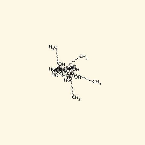 CCCCCCCCCCC[C@@H](O)CC(=O)N[C@H]1[C@H](OC[C@H]2O[C@H](OCCOP(=O)(O)O)[C@H](NC(=O)C[C@H](O)CCCCCCCCCCC)[C@@H](OC(=O)C[C@H](O)CCCCCCCCCCC)[C@@H]2O)O[C@H](CO)[C@@H](OP(=O)(O)O)[C@@H]1OC(=O)C[C@H](O)CCCCCCCCCCC